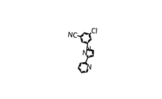 N#Cc1cc(Cl)cc(-n2ccc(-c3ccccn3)n2)c1